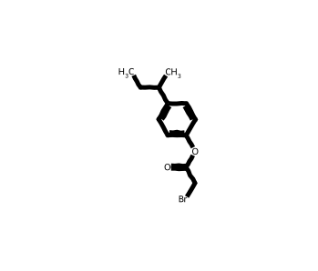 CCC(C)c1ccc(OC(=O)CBr)cc1